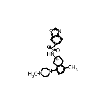 Cc1ccc(N2CCN(C)CC2)c2c1CC[C@@H](NS(=O)(=O)c1ccc3ncsc3c1)C2